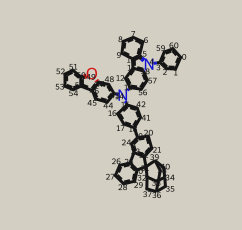 c1ccc(-n2c3ccccc3c3cc(N(c4ccc(-c5ccc6c(c5)-c5ccccc5C65C6CC7CC(C6)CC5C7)cc4)c4ccc5c(c4)oc4ccccc45)ccc32)cc1